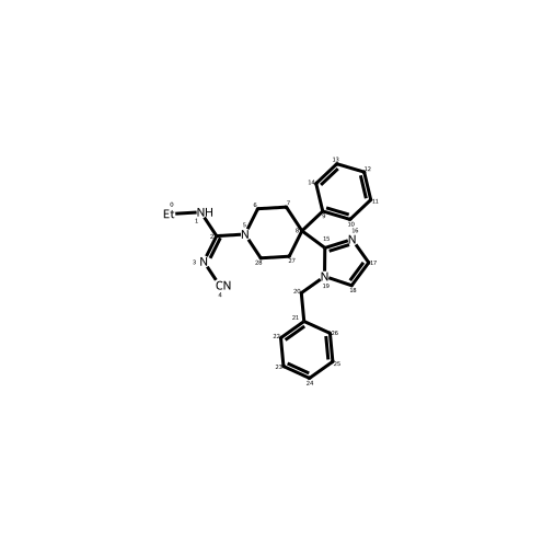 CCN/C(=N/C#N)N1CCC(c2ccccc2)(c2nccn2Cc2ccccc2)CC1